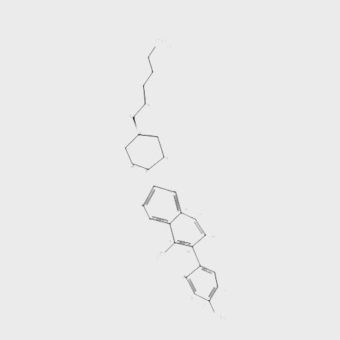 CCCCCC[C@H]1CC[C@H](c2ccc3c(F)c(-c4ccc(C)cc4)ccc3c2)CC1